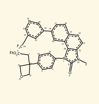 CCOC(=O)CC1(c2ccc(-n3c(=O)n(C)c4cnc5ccc(-c6cncc(C(F)(F)F)c6)cc5c43)cc2)COC1